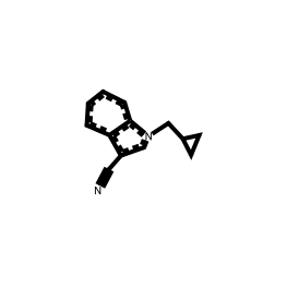 N#Cc1cn(CC2CC2)c2ccccc12